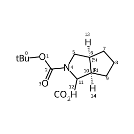 CC(C)(C)OC(=O)N1C[C@H]2CCC[C@H]2C1C(=O)O